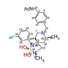 CC(=O)Nc1ccc(CN2CC[C@@]3(C[C@@H]2C)CN(C)S(O)(O)N3c2cccc(F)c2)cc1